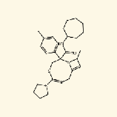 Cc1ccc(C2(C(=O)NC3CCCCCC3)CS/C(N3CCCC3)=N\CC3=CC(C)N32)cc1